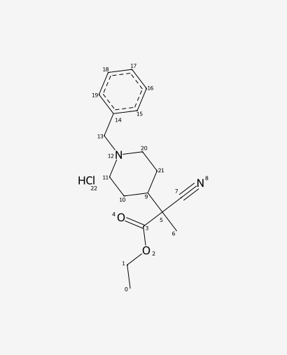 CCOC(=O)C(C)(C#N)C1CCN(Cc2ccccc2)CC1.Cl